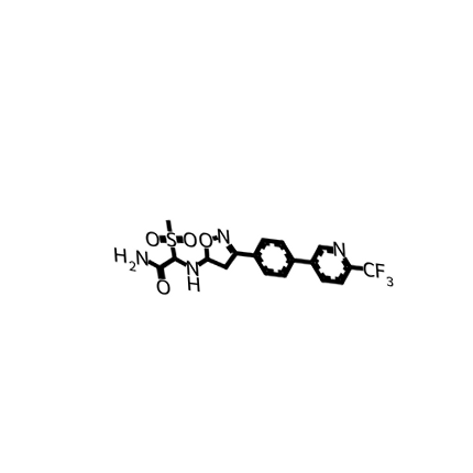 CS(=O)(=O)C(NC1CC(c2ccc(-c3ccc(C(F)(F)F)nc3)cc2)=NO1)C(N)=O